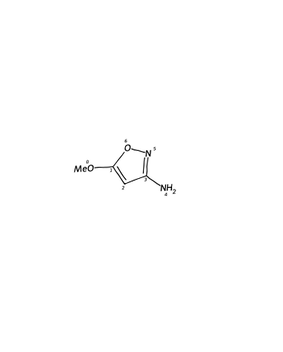 COc1cc(N)no1